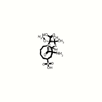 CO[C@]1(C(=O)O)C(C)(C)S[C@@H]2C3(N)CC(S(=O)(=O)O)CCCC[N+]21C3=O